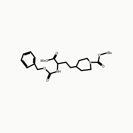 COC(=O)C(CCC1CCN(C(=O)OC(C)(C)C)CC1)NC(=O)OCc1ccccc1